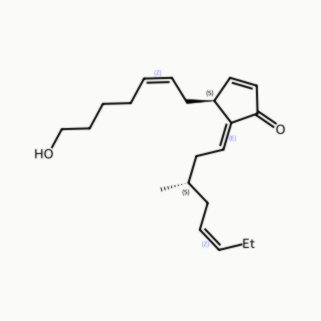 CC/C=C\C[C@H](C)C/C=C1/C(=O)C=C[C@@H]1C/C=C\CCCCO